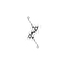 O=C(Oc1c(Cl)cc(Cl)c(Cl)c1C(=O)OCCCCCC1CCC1)C(=O)Oc1c(Cl)cc(Cl)c(Cl)c1C(=O)OCCCCCC1CCC1